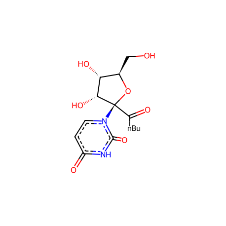 CCCCC(=O)[C@@]1(n2ccc(=O)[nH]c2=O)O[C@H](CO)[C@@H](O)[C@H]1O